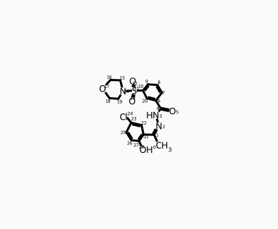 C/C(=N/NC(=O)c1cccc(S(=O)(=O)N2CCOCC2)c1)c1cc(Cl)ccc1O